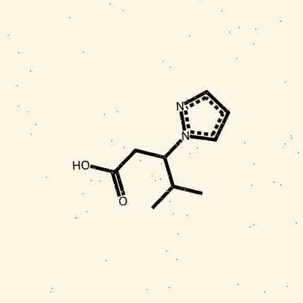 CC(C)C(CC(=O)O)n1cccn1